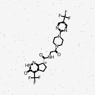 O=C(NCC(=O)N1CCN(c2ncc(C(F)(F)F)cn2)CC1)[C@@H]1CCc2c1n[nH]c(=O)c2C(F)(F)F